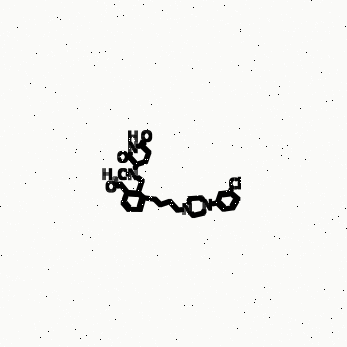 CN(Cc1c(C=O)cccc1CCCCN1CCN(c2cccc(Cl)c2)CC1)C1CCC(=O)NC1=O